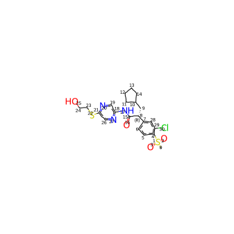 CS(=O)(=O)c1ccc([C@@H](CC2CCCC2)C(=O)Nc2cnc(SCCO)cn2)cc1Cl